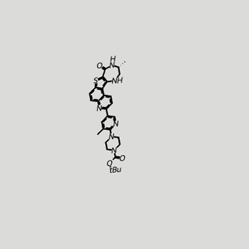 Cc1cc(-c2ccc3c(ccc4sc5c(c43)NC[C@@H](C)NC5=O)n2)cnc1N1CCN(C(=O)OC(C)(C)C)CC1